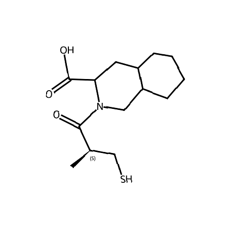 C[C@H](CS)C(=O)N1CC2CCCCC2CC1C(=O)O